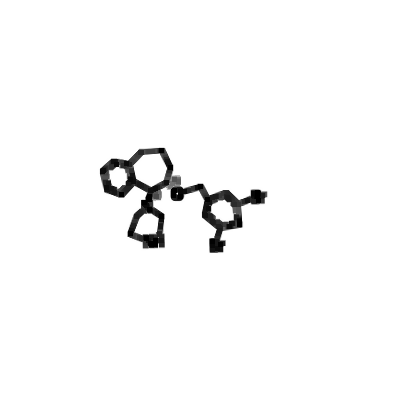 Brc1cc(Br)cc(CO[C@H]2CCCc3ccccc3[C@@H]2N2CCNCC2)c1